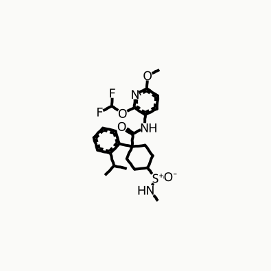 CN[S+]([O-])C1CCC(C(=O)Nc2ccc(OC)nc2OC(F)F)(c2ccccc2C(C)C)CC1